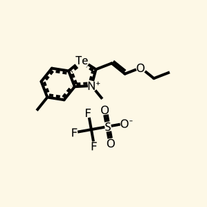 CCOC=Cc1[te]c2ccc(C)cc2[n+]1C.O=S(=O)([O-])C(F)(F)F